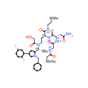 CNCCNC(=O)[C@H](CCN(C(=O)CO)[C@@H](c1cc(-c2cc(F)ccc2F)cn1Cc1ccccc1)C(C)(C)C)NC(=O)[C@H](CC(N)=O)NC(=O)CNC(=O)CNC(C)=O